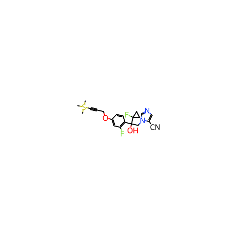 CS(C)(C)C#CCOc1ccc(C(O)(Cn2cncc2C#N)C2(F)CC2)c(F)c1